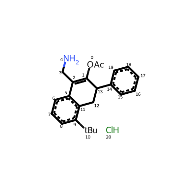 CC(=O)OC1=C(CN)c2cccc(C(C)(C)C)c2CC1c1ccccc1.Cl